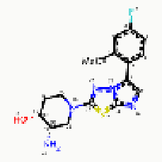 COc1cc(F)ccc1-c1cnc2sc(N3CC[C@@H](O)[C@@H](N)C3)nn12